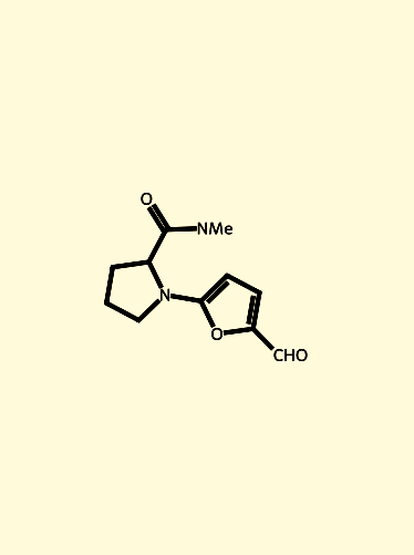 CNC(=O)C1CCCN1c1ccc(C=O)o1